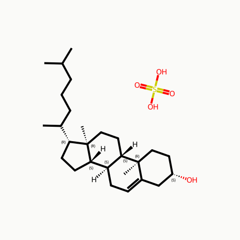 CC(C)CCCC(C)[C@H]1CC[C@H]2[C@@H]3CC=C4C[C@@H](O)CC[C@]4(C)[C@H]3CC[C@]12C.O=S(=O)(O)O